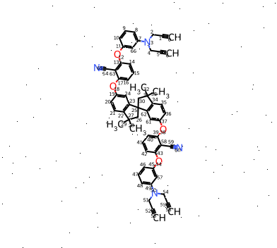 C#CCN(CC#C)c1cccc(Oc2cccc(Oc3ccc4c(c3)C3(CC4(C)C)CC(C)(C)c4ccc(Oc5cccc(Oc6cccc(N(CC#C)CC#C)c6)c5C#N)cc43)c2C#N)c1